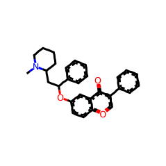 CN1CCCCC1CC(Oc1ccc2occ(-c3ccccc3)c(=O)c2c1)c1ccccc1